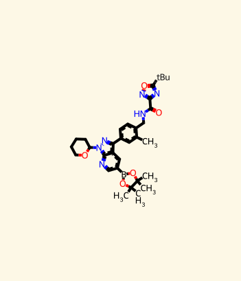 Cc1cc(-c2nn(C3CCCCO3)c3ncc(B4OC(C)(C)C(C)(C)O4)cc23)ccc1CNC(=O)c1noc(C(C)(C)C)n1